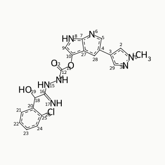 Cn1cc(-c2cnc3[nH]cc(OC(=O)NNC(=N)C(O)c4ccccc4Cl)c3c2)cn1